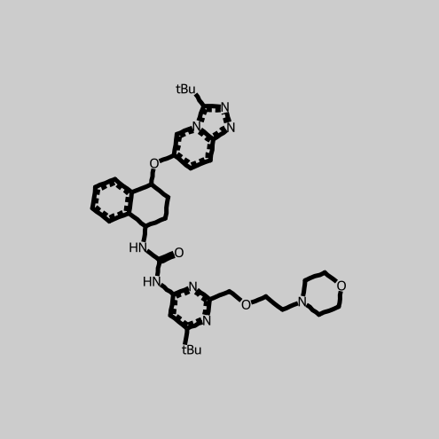 CC(C)(C)c1cc(NC(=O)NC2CCC(Oc3ccc4nnc(C(C)(C)C)n4c3)c3ccccc32)nc(COCCN2CCOCC2)n1